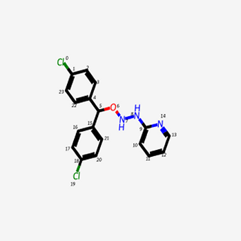 Clc1ccc(C(ONNc2ccccn2)c2ccc(Cl)cc2)cc1